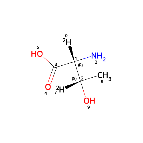 [2H][C@](N)(C(=O)O)[C@]([2H])(C)O